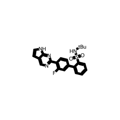 CC(C)(C)NS(=O)(=O)c1ccccc1-c1ccc(-c2ncc3cc[nH]c3n2)c(F)c1